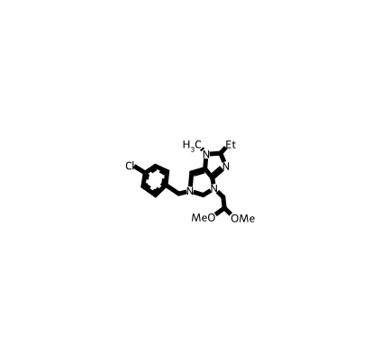 CCC1N=C2C(=CN(Cc3ccc(Cl)cc3)CN2CC(OC)OC)N1C